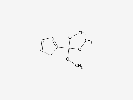 CO[Si](OC)(OC)C1=CC=CC1